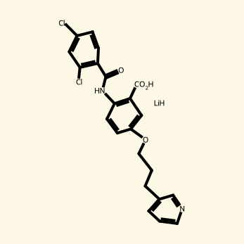 O=C(Nc1ccc(OCCCc2cccnc2)cc1C(=O)O)c1ccc(Cl)cc1Cl.[LiH]